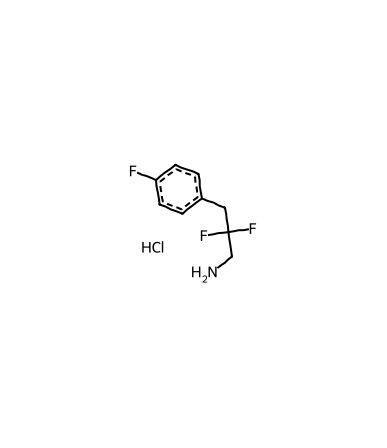 Cl.NCC(F)(F)Cc1ccc(F)cc1